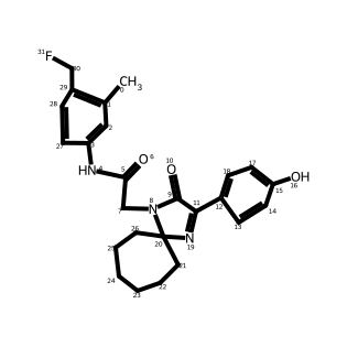 Cc1cc(NC(=O)CN2C(=O)C(c3ccc(O)cc3)=NC23CCCCCC3)ccc1CF